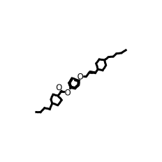 CCCCCC1CCC(/C=C/COc2ccc(OC(=O)C3CCC(CCCC)CC3)cc2)CC1